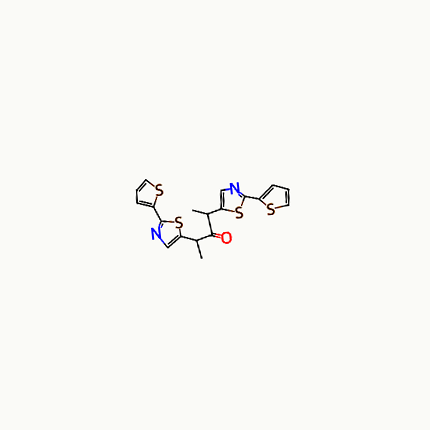 CC(C(=O)C(C)c1cnc(-c2cccs2)s1)c1cnc(-c2cccs2)s1